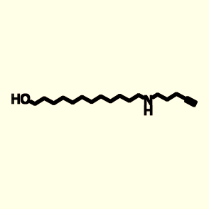 C#CCCCNCCCCCCCCCCCCO